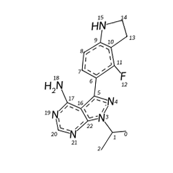 CC(C)n1nc(-c2ccc3c(c2F)CCN3)c2c(N)ncnc21